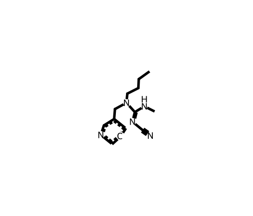 CCCCN(Cc1cccnc1)C(=NC#N)NC